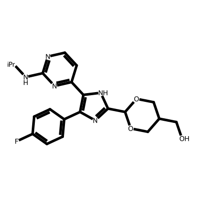 CC(C)Nc1nccc(-c2[nH]c(C3OCC(CO)CO3)nc2-c2ccc(F)cc2)n1